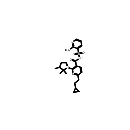 CC1CCN(c2nc(CCC3CC3)ccc2C(=O)NS(=O)(=O)c2cccnc2N)C1(C)C